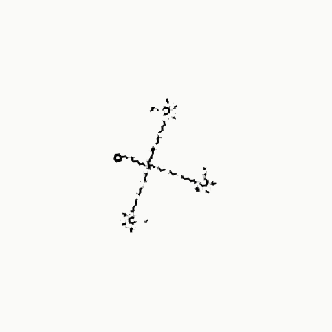 CC(=O)OC[C@H]1O[C@@H](OCCCCCNCCCNC(=O)CCOCC(COCCC(=O)NCCCNCCCCCO[C@@H]2O[C@H](COC(C)=O)[C@@H](OC(C)=O)[C@H](OC(C)=O)[C@H]2OC(C)=O)(COCCC(=O)NCCCNC(=O)CCCCO[C@@H]2O[C@H](COC(C)=O)[C@@H](OC(C)=O)[C@H](OC(C)=O)[C@H]2OC(C)=O)NC(=O)CCCC(=O)OCc2ccccc2)[C@H](OC(C)=O)[C@@H](OC(C)=O)[C@@H]1OC(C)=O